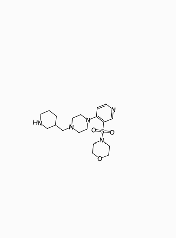 O=S(=O)(c1cnccc1N1CCN(CC2CCCNC2)CC1)N1CCOCC1